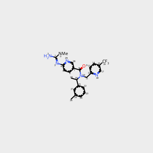 CN/C(N)=N\c1ccc(C(=O)N(Cc2ccc(C(F)(F)F)cn2)C(C)c2cccc(C)c2)cn1